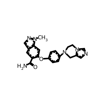 Cn1ncc2cc(C(N)=O)c(Oc3ccc(N4CCn5cncc5C4)cc3)cc21